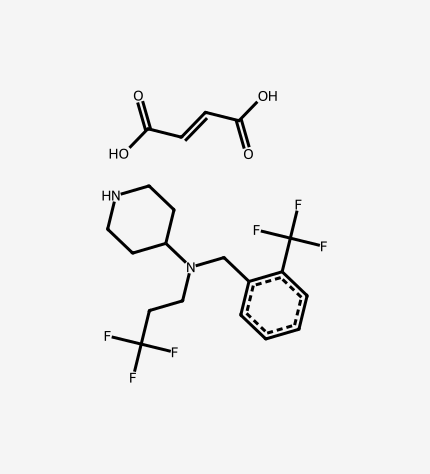 FC(F)(F)CCN(Cc1ccccc1C(F)(F)F)C1CCNCC1.O=C(O)C=CC(=O)O